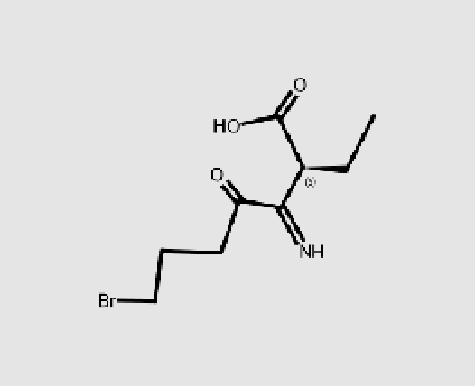 CC[C@@H](C(=N)C(=O)CCCBr)C(=O)O